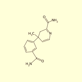 CC1(c2cccc(C(N)=O)c2)C=CN=C(C(N)=O)C1